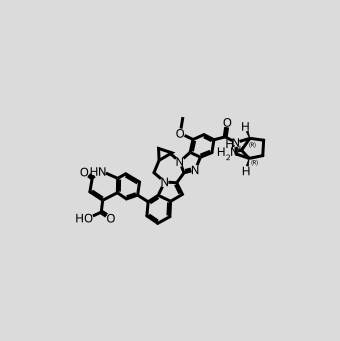 COc1cc(C(=O)N2C[C@H]3CC[C@@H]2[C@@H]3N)cc2nc(-c3cc4cccc(-c5ccc6[nH]c(=O)cc(C(=O)O)c6c5)c4n3CC3CC3)n(C)c12